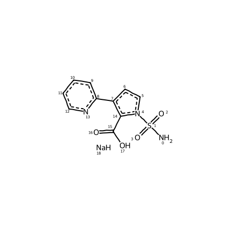 NS(=O)(=O)n1ccc(-c2ccccn2)c1C(=O)O.[NaH]